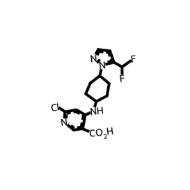 O=C(O)c1cnc(Cl)cc1NC1CCC(n2nccc2C(F)F)CC1